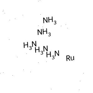 N.N.N.N.N.[Ru]